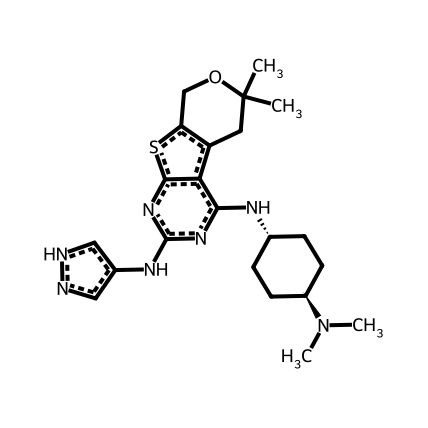 CN(C)[C@H]1CC[C@H](Nc2nc(Nc3cn[nH]c3)nc3sc4c(c23)CC(C)(C)OC4)CC1